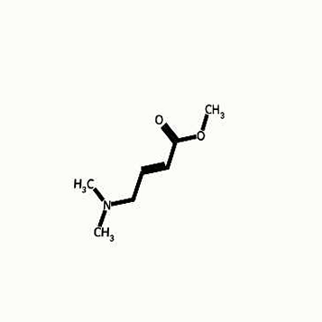 COC(=O)/C=C/CN(C)C